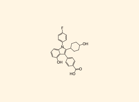 O=C(O)c1ccc(-c2c(C3CCC(O)CC3)n(-c3ccc(F)cc3)c3cccc(O)c23)cc1